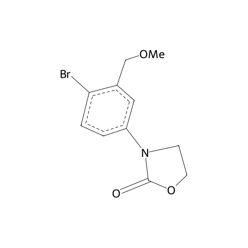 COCc1cc(N2CCOC2=O)ccc1Br